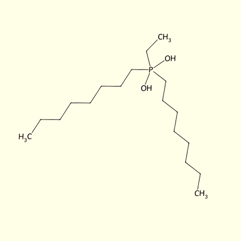 CCCCCCCCP(O)(O)(CC)CCCCCCCC